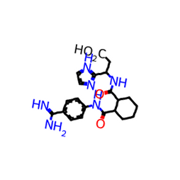 N=C(N)c1ccc(NC(=O)C2CCCCC2C(=O)NC(CC(=O)O)c2ncc[nH]2)cc1